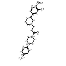 CCc1cc(C2CCCN(CCC(=O)N3CCN(c4ncc(C(F)(F)F)cn4)CC3)C2)cnc1OC